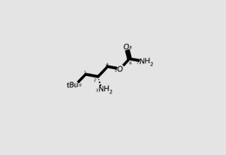 CC(C)(C)C[C@@H](N)COC(N)=O